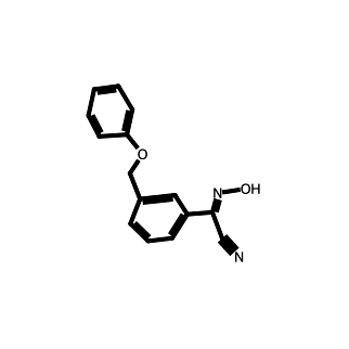 N#CC(=NO)c1cccc(COc2ccccc2)c1